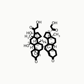 C[C@]12CCC(=O)C=C1CC[C@@H]1[C@@H]2[C@@H](O)C[C@@]2(C)[C@H]1CC[C@]2(O)C(=O)CO.C[C@]12CC[C@H]3[C@@H](CCC4=CC(=O)CC[C@@]43C)[C@@H]1CC[C@@H]2C(=O)CO